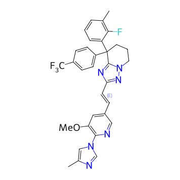 COc1cc(/C=C/c2nc3n(n2)CCCC3(c2ccc(C(F)(F)F)cc2)c2cccc(C)c2F)cnc1-n1cnc(C)c1